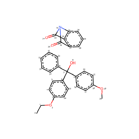 CCOc1ccc(C(O)(c2ccccc2)c2ccc(OC)cc2)cc1.O=C1c2cccc3c2C(=O)N13